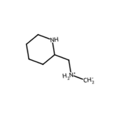 [CH2-][NH2+]CC1CCCCN1